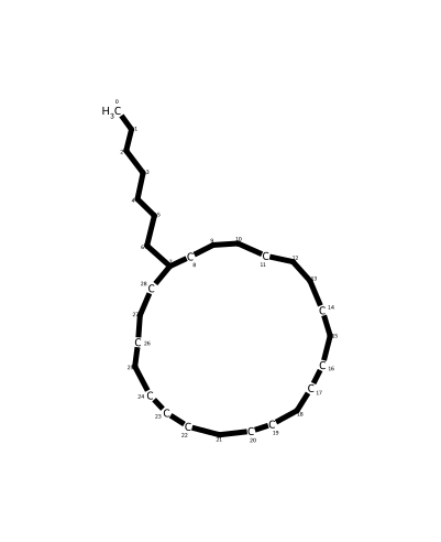 CCCCCCCC1CCCCCCCCCCCCCCCCCCCCC1